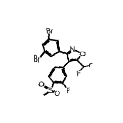 CS(=O)(=O)c1ccc(-c2c(-c3cc(Br)cc(Br)c3)noc2C(F)F)cc1F